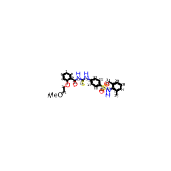 COCCOc1ccccc1C(=O)NC(=S)Nc1ccc(S(=O)(=O)Nc2c(C)cccc2C)cc1